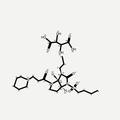 CCCCS(=O)(=O)N1C(=O)[C@H](CCC)[C@@H]2[C@@H]1CCN2C(=O)CCN1CCCCC1.O=C(O)C(O)C(O)C(=O)O